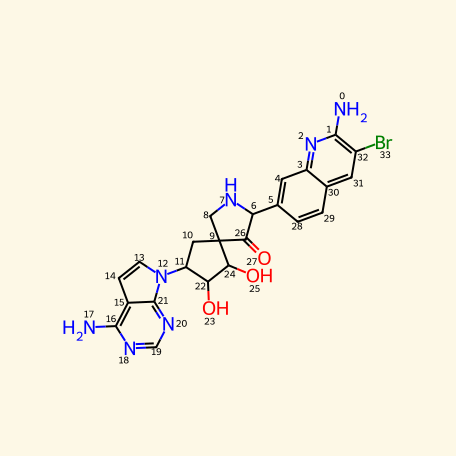 Nc1nc2cc(C3NCC4(CC(n5ccc6c(N)ncnc65)C(O)C4O)C3=O)ccc2cc1Br